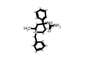 CC1CC(NC(N)=O)(c2ccccc2)CCN1Cc1ccccc1